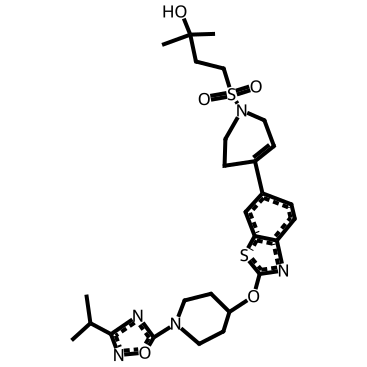 CC(C)c1noc(N2CCC(Oc3nc4ccc(C5=CCN(S(=O)(=O)CCC(C)(C)O)CC5)cc4s3)CC2)n1